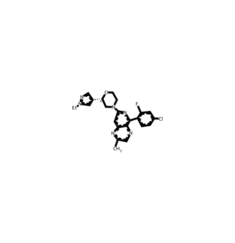 CCn1cc([C@H]2CN(c3cc4nc(C)cnc4c(-c4ccc(Cl)cc4F)n3)CCO2)cn1